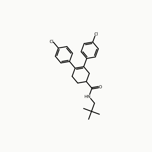 CC(C)(C)CNC(=O)C1CCC(c2ccc(Cl)cc2)=C(c2ccc(Cl)cc2)C1